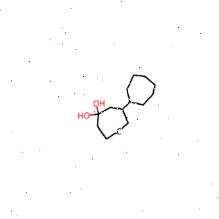 OC1(O)CCCCC(C2CCCCCC2)C1